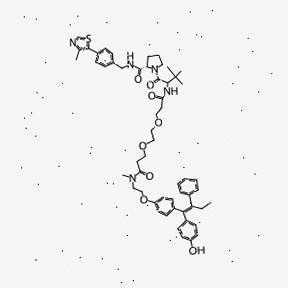 CC/C(=C(\c1ccc(O)cc1)c1ccc(OCCN(C)C(=O)CCOCCOCCC(=O)NC(C(=O)N2CCC[C@H]2C(=O)NCc2ccc(-c3scnc3C)cc2)C(C)(C)C)cc1)c1ccccc1